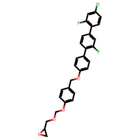 Fc1cc(Cl)ccc1-c1ccc(-c2ccc(OCc3ccc(OCOCC4CO4)cc3)cc2)c(F)c1